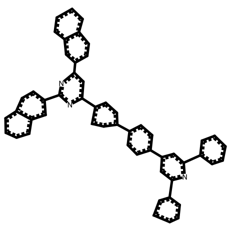 c1ccc(-c2cc(-c3ccc(-c4ccc(-c5cc(-c6ccc7ccccc7c6)nc(-c6ccc7ccccc7c6)n5)cc4)cc3)cc(-c3ccccc3)n2)cc1